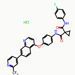 Cl.O=C(Nc1ccc(F)cc1)C1(C(=O)Nc2ccc(Oc3ccnc4cc(-c5ccnc(C(F)(F)F)c5)ccc34)cc2)CC1